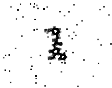 CC(C)Cn1c(-c2cccs2)nn(CC(=O)NCc2cccc(C(F)(F)F)c2)c1=O